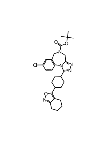 CC(C)(C)OC(=O)N1Cc2cc(Cl)ccc2-n2c(nnc2C2CCC(c3onc4c3CCCC4)CC2)C1